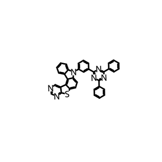 c1ccc(-c2nc(-c3ccccc3)nc(-c3cccc(-n4c5ccccc5c5c6c(ccc54)sc4ncncc46)c3)n2)cc1